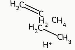 C.C=C.CC.[H+]